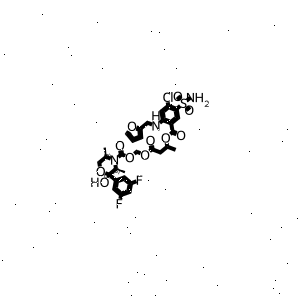 CC(CC(=O)OCOC(=O)N1[C@H](C)CO[C@@](O)(c2cc(F)cc(F)c2)[C@@H]1C)OC(=O)c1cc(S(N)(=O)=O)c(Cl)cc1NCc1ccco1